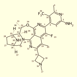 Cc1nc(N)cc(-c2nc3c4c(nc(C5CN(C)C5)c(C)c4c2F)N2C[C@H]4CC[C@H](N4)[C@H]2[C@H](C)O3)c1C(F)(F)F